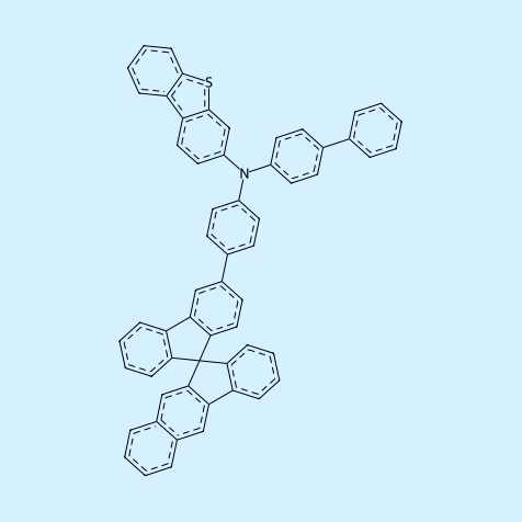 c1ccc(-c2ccc(N(c3ccc(-c4ccc5c(c4)-c4ccccc4C54c5ccccc5-c5cc6ccccc6cc54)cc3)c3ccc4c(c3)sc3ccccc34)cc2)cc1